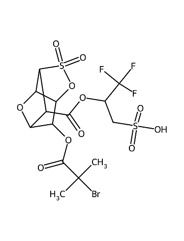 CC(C)(Br)C(=O)OC1C2OS(=O)(=O)C3C2OC1C3C(=O)OC(CS(=O)(=O)O)C(F)(F)F